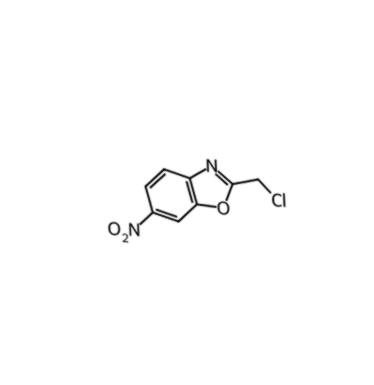 O=[N+]([O-])c1ccc2nc(CCl)oc2c1